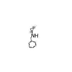 C[C@H]1C[C@@H]1NCc1ccccc1